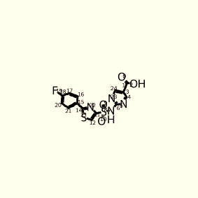 O=C(O)c1cnc(NS(=O)(=O)c2csc(-c3ccc(F)cc3)n2)nc1